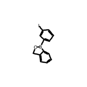 Ic1cccc(B2OCc3ccccc32)c1